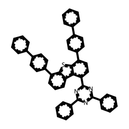 c1ccc(-c2ccc(-c3cccc4c3sc3c(-c5ccc(-c6ccccc6)cc5)ccc(-c5nc(-c6ccccc6)nc(-c6ccccc6)n5)c34)cc2)cc1